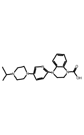 CC(C)N1CCN(c2ccc(N3CCN(C(=O)O)c4ccccc43)nc2)CC1